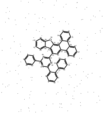 c1ccc(-c2nc(-c3ccccc3-c3ccccc3)nc(-c3cc4c5ccccc5c5ccccc5c4c4oc5ccccc5c34)n2)cc1